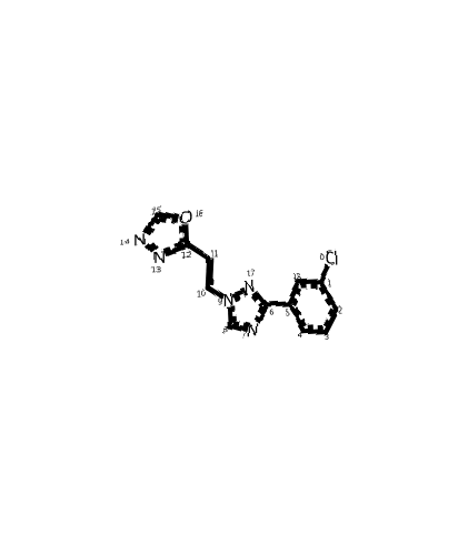 Clc1cccc(-c2ncn(C=Cc3nnco3)n2)c1